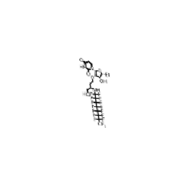 CC[C@H]1O[C@@H](n2ccc(=O)[nH]c2=O)[C@@H](OCCC(CO)NC(F)(F)C(F)(F)C(F)(F)C(F)(F)C(F)(F)C(F)(F)C(F)(F)C(F)(F)F)C1O